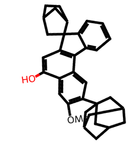 COc1cc2c(O)cc3c(c2cc1C12CC4CC(CC(C4)C1)C2)-c1ccccc1C31CC2CCC1C2